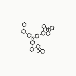 c1ccc(-c2cccc(-c3ccc(N(c4ccc(-c5cccc(-c6ccccc6-n6c7ccccc7c7ccccc76)c5)cc4)c4ccc(-c5ccccc5-c5cccc6c5oc5ccccc56)cc4)cc3)c2)cc1